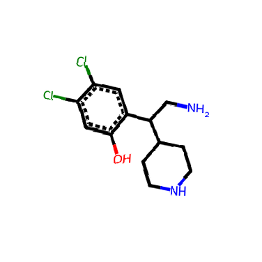 NCC(c1cc(Cl)c(Cl)cc1O)C1CCNCC1